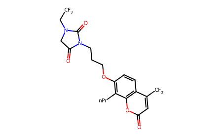 CCCc1c(OCCCN2C(=O)CN(CC(F)(F)F)C2=O)ccc2c(C(F)(F)F)cc(=O)oc12